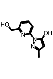 Cc1cc(O)n(-c2cccc(CO)n2)n1